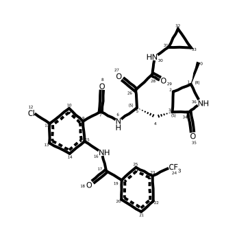 C[C@@H]1C[C@@H](C[C@H](NC(=O)c2cc(Cl)ccc2NC(=O)c2cccc(C(F)(F)F)c2)C(=O)C(=O)NC2CC2)C(=O)N1